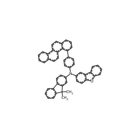 CC1(C)c2ccccc2-c2ccc(N(c3ccc(-c4cccc5ccc6c7ccccc7ccc6c45)cc3)c3ccc4oc5ccccc5c4c3)cc21